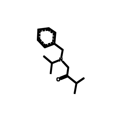 CC(C)C(=O)CN(Cc1ccccc1)C(C)C